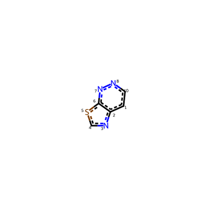 [c]1cc2ncsc2nn1